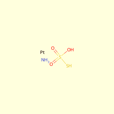 N.O=S(=O)(O)S.[Pt]